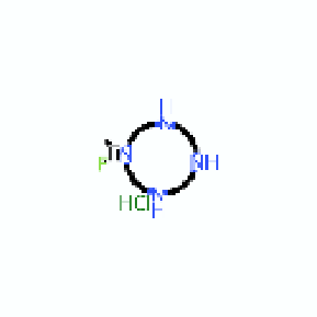 Cl.[CH3][Ti]([F])[N]1CCCNCCCNCCCNCCC1